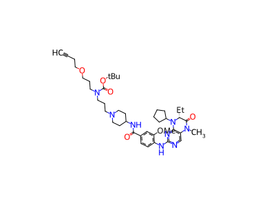 C#CCCOCCCN(CCCN1CCC(NC(=O)c2ccc(Nc3ncc4c(n3)N(C3CCCC3)[C@H](CC)C(=O)N4C)c(OC)c2)CC1)C(=O)OC(C)(C)C